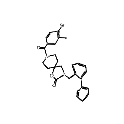 Cc1cc(C(=O)N2CCC3(CC2)CN(Cc2ccccc2-c2ccccc2)C(=O)O3)ccc1Br